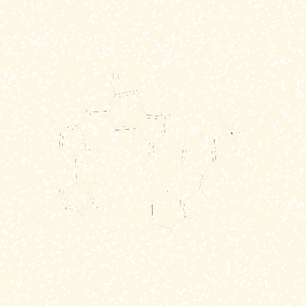 Cc1cc2nc(-c3cc(CN4CCOCC4)cc(C(F)(F)F)c3)[nH]c2cc1Nc1nc(-c2cccnc2)cs1